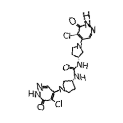 O=C(N[C@@H]1CCN(c2cn[nH]c(=O)c2Cl)C1)N[C@@H]1CCN(c2cn[nH]c(=O)c2Cl)C1